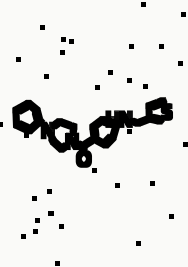 O=C(c1ccc(NCc2ccsc2)cc1)N1CCN(c2ccccc2)CC1